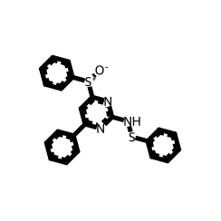 [O-][S+](c1ccccc1)c1cc(-c2ccccc2)nc(NSc2ccccc2)n1